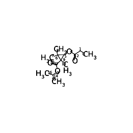 CCC(=O)OC1C(C)(C)C1(C)C(=O)OC(C)C